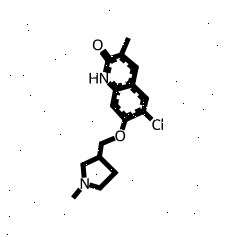 Cc1cc2cc(Cl)c(OCC3CCN(C)C3)cc2[nH]c1=O